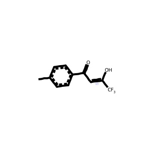 Cc1ccc(C(=O)/C=C(\O)C(F)(F)F)cc1